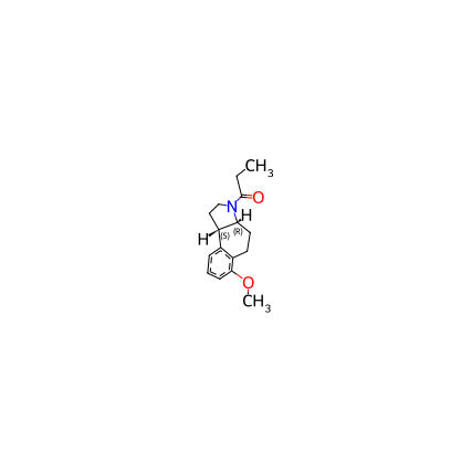 CCC(=O)N1CC[C@H]2c3cccc(OC)c3CC[C@H]21